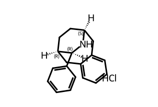 Cl.c1ccc([C@@H]2N[C@H]3CC[C@@H]2Cc2ccccc2C3)cc1